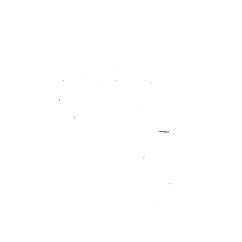 CC(OC(=O)[C@@H](N)Cc1ccccc1)(C1CCCCC1)P(=O)(O)O.Cl